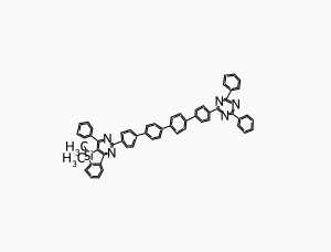 C[Si]1(C)c2ccccc2-c2nc(-c3ccc(-c4ccc(-c5ccc(-c6ccc(-c7nc(-c8ccccc8)nc(-c8ccccc8)n7)cc6)cc5)cc4)cc3)nc(-c3ccccc3)c21